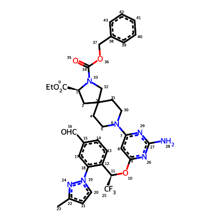 CCOC(=O)[C@@H]1CC2(CCN(c3cc(O[C@H](c4ccc(C=O)cc4-n4ccc(C)n4)C(F)(F)F)nc(N)n3)CC2)CN1C(=O)OCc1ccccc1